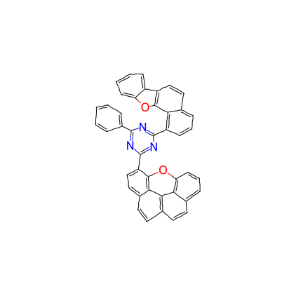 c1ccc(-c2nc(-c3ccc4ccc5ccc6cccc7c6c5c4c3O7)nc(-c3cccc4ccc5c6ccccc6oc5c34)n2)cc1